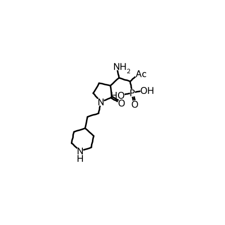 CC(=O)C(C(N)C1CCN(CCC2CCNCC2)C1=O)P(=O)(O)O